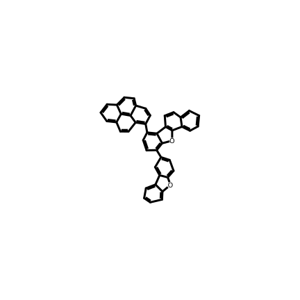 c1ccc2c(c1)ccc1c2oc2c(-c3ccc4oc5ccccc5c4c3)ccc(-c3ccc4ccc5cccc6ccc3c4c56)c21